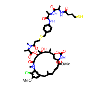 COc1cc2cc(c1Cl)N(C)C(=O)CC(OC(=O)C(C)N(C)C(=O)CCSCc1ccc(NC(=O)C(C)NC(=O)C(C)NC(=O)CCCS)cc1)C(C)(O)CC(C)C1CC(O)(NC(=O)O1)C(OC)/C=C/C=C(\C)C2